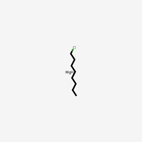 CCCCCCCCCl.[MgH2]